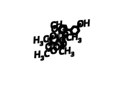 COc1ccc(C2CCCC(O)C2)cc1[C@H]1O[C@@H](C)[C@@H](OC(C)=O)[C@@H](OC(C)=O)[C@@H]1OC(C)=O